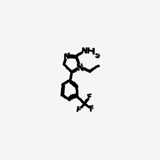 CCN1C(N)=NCC1c1cccc(C(F)(F)F)c1